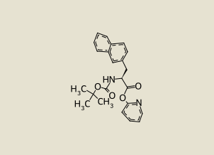 CC(C)(C)OC(=O)N[C@@H](Cc1ccc2ccccc2c1)C(=O)Oc1ccccn1